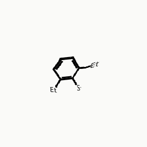 CCc1cccc(CC)c1[S]